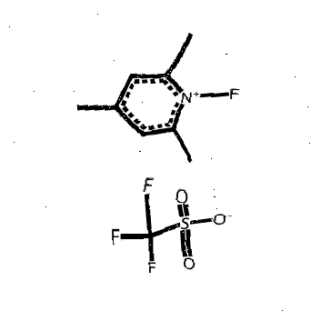 Cc1cc(C)[n+](F)c(C)c1.O=S(=O)([O-])C(F)(F)F